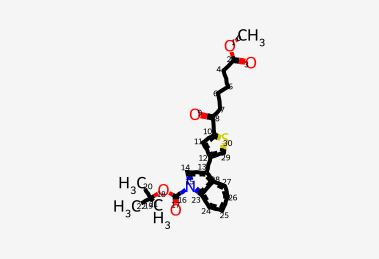 COC(=O)CCCCC(=O)c1cc(-c2cn(C(=O)OC(C)(C)C)c3ccccc23)cs1